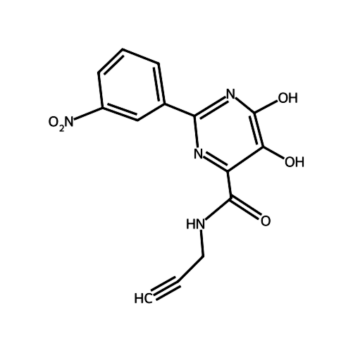 C#CCNC(=O)c1nc(-c2cccc([N+](=O)[O-])c2)nc(O)c1O